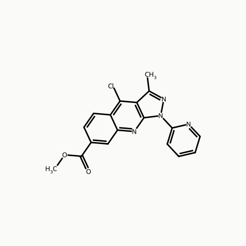 COC(=O)c1ccc2c(Cl)c3c(C)nn(-c4ccccn4)c3nc2c1